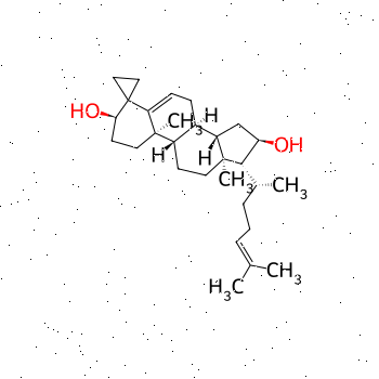 CC(C)=CCC[C@@H](C)[C@H]1[C@H](O)C[C@H]2[C@@H]3CC=C4C5(CC5)[C@H](O)CC[C@]4(C)[C@H]3CC[C@]12C